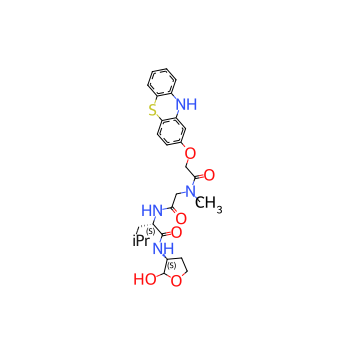 CC(C)C[C@H](NC(=O)CN(C)C(=O)COc1ccc2c(c1)Nc1ccccc1S2)C(=O)N[C@H]1CCOC1O